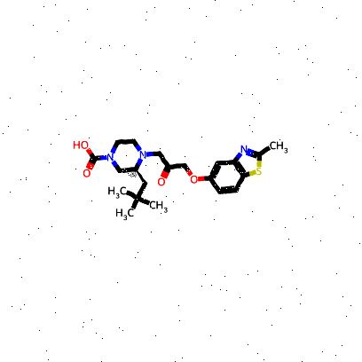 Cc1nc2cc(OCC(=O)CN3CCN(C(=O)O)C[C@@H]3CC(C)(C)C)ccc2s1